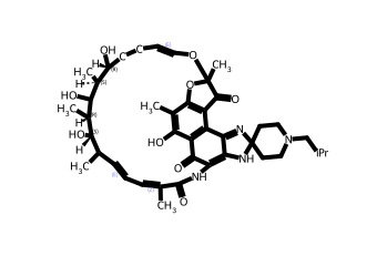 C/C1=C/C=C/C(C)[C@H](O)[C@@H](C)C(O)[C@@H](C)[C@H](O)CC/C=C/OC2(C)Oc3c(C)c(O)c4c(c3C2=O)C2=NC3(CCN(CC(C)C)CC3)NC2=C(NC1=O)C4=O